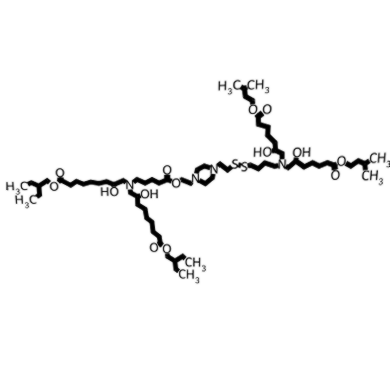 CCC(CC)COC(=O)CCCCCCC(O)CN(CCCCC(=O)OCCN1CCN(CCSSCCCCN(CC(O)CCCCC(=O)OCCC(C)C)CC(O)CCCCC(=O)OCCC(C)C)CC1)CC(O)CCCCCCC(=O)OCC(CC)CC